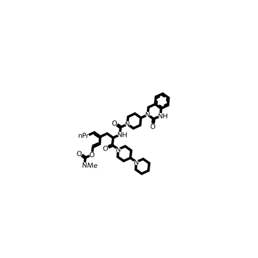 CCC/C=C(\C=C\OC(=O)NC)CC(NC(=O)N1CCC(N2Cc3ccccc3NC2=O)CC1)C(=O)N1CCC(N2CCCCC2)CC1